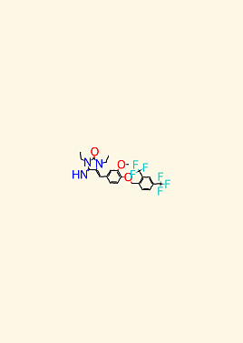 CCN1C(=N)C(=Cc2ccc(OCc3ccc(C(F)(F)F)cc3C(F)(F)F)c(OC)c2)N(CC)C1=O